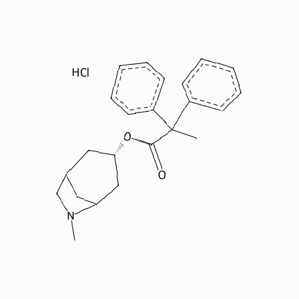 CN1CC2CC1C[C@@H](OC(=O)C(C)(c1ccccc1)c1ccccc1)C2.Cl